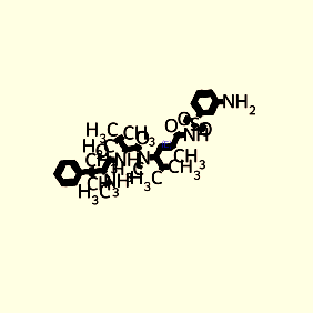 CNC(C(=O)NC(C(=O)N(C)C(/C=C(\C)C(=O)NS(=O)(=O)c1cccc(N)c1)C(C)C)C(C)(C)C)C(C)(C)c1ccccc1